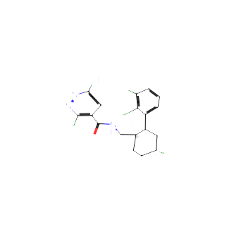 O=C(NC[C@]1(O)CC[C@H](F)CC1c1cccc(F)c1Cl)c1cc(Cl)nnc1Cl